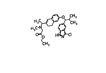 CCOC(=O)CN(C)C(C)C1=Cc2ccc(OC(c3ccc4[nH]nc(Cl)c4c3)C(C)C)cc2CC1